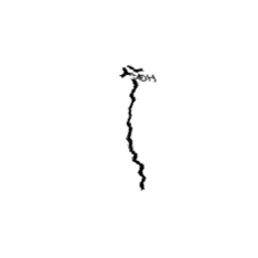 CCCCCCCCCCCCCCCCCC[Si](O)(C(C)C)C(C)C